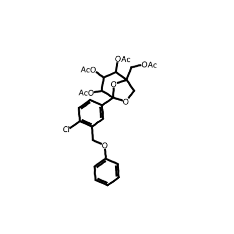 CC(=O)OCC12COC(c3ccc(Cl)c(COc4ccccc4)c3)(O1)C(OC(C)=O)C(OC(C)=O)C2OC(C)=O